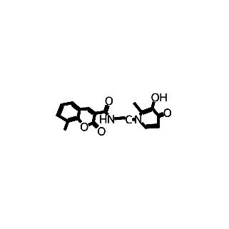 Cc1cccc2cc(C(=O)NCCn3ccc(=O)c(O)c3C)c(=O)oc12